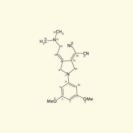 COc1cc(OC)cc(N2CC(=CCN(C)C)C(=C(C#N)C#N)C2)c1